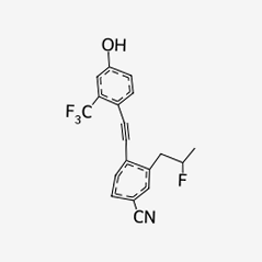 CC(F)Cc1cc(C#N)ccc1C#Cc1ccc(O)cc1C(F)(F)F